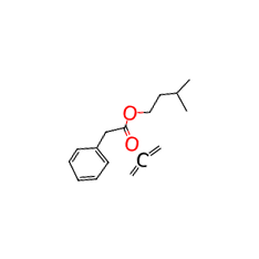 C=C=C.CC(C)CCOC(=O)Cc1ccccc1